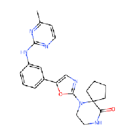 Cc1ccnc(Nc2cccc(-c3cnc(N4CCNC(=O)C45CCCC5)o3)c2)n1